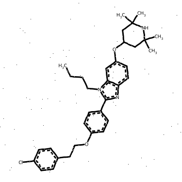 CCCCn1c(-c2ccc(OCCc3ccc(Cl)cc3)cc2)nc2ccc(OC3CC(C)(C)NC(C)(C)C3)cc21